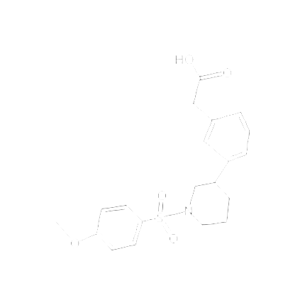 COc1ccc(S(=O)(=O)N2CCCC(c3cccc(CC(=O)O)c3)C2)cc1